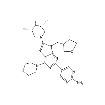 C[C@@H]1CN(c2nc3c(N4CCOCC4)nc(-c4cnc(N)nc4)nc3n2CC2CCOC2)C[C@H](C)N1